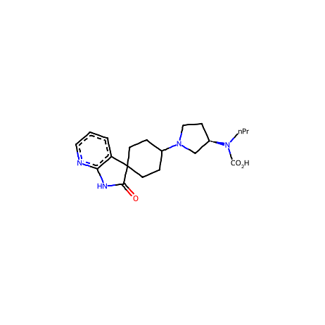 CCCN(C(=O)O)[C@@H]1CCN(C2CCC3(CC2)C(=O)Nc2ncccc23)C1